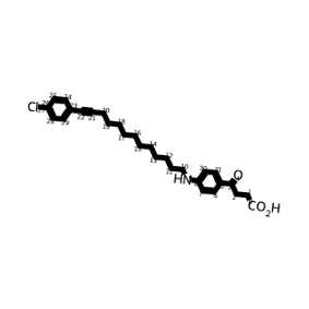 O=C(O)CCC(=O)c1ccc(NCCCCCCCCCCCC#Cc2ccc(Cl)cc2)cc1